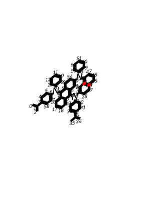 CC(C)c1ccc(N(c2ccccc2)c2c3ccccc3c(N(c3ccccc3)c3ccc(C(C)C)cc3)c3cc(N(c4ccccc4)c4ccccc4)ccc23)cc1